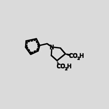 O=C(O)[C@@H]1CN(Cc2ccccc2)C[C@H]1C(=O)O